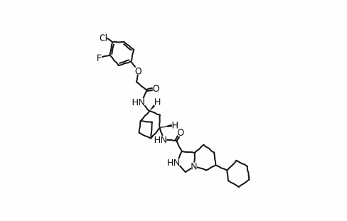 O=C(COc1ccc(Cl)c(F)c1)N[C@@H]1C[C@H](NC(=O)C2NCN3CC(C4CCCCC4)CCC23)C2CC1C2